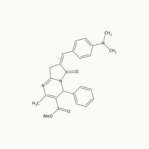 COC(=O)C1=C(C)N=C2C/C(=C/c3ccc(N(C)C)cc3)C(=O)N2C1c1ccccc1